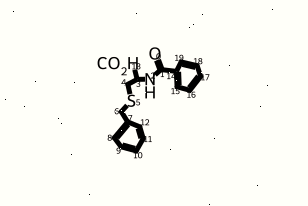 O=C(NC(CSCc1ccccc1)C(=O)O)c1ccccc1